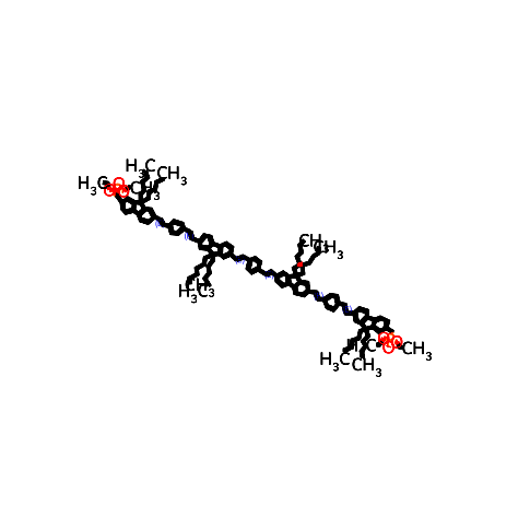 CCCCCCC1(CCCCCC)c2cc(/C=C/c3ccc(/C=C/c4ccc5c(c4)C(CCCCCC)(CCCCCC)c4cc(/C=C/c6ccc(/C=C/c7ccc8c(c7)C(CCCCCC)(CCCCCC)c7cc(CP(=O)(OCC)OCC)ccc7-8)cc6)ccc4-5)cc3)ccc2-c2ccc(/C=C/c3ccc(/C=C/c4ccc5c(c4)C(CCCCCC)(CCCCCC)c4cc(CP(=O)(OCC)OCC)ccc4-5)cc3)cc21